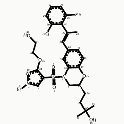 CCn1cc(S(=O)(=O)N2C[C@H](CCC(C)(C)O)Oc3ccc(/C=C(\C)c4c(F)cccc4Cl)cc32)c(OCCO)n1